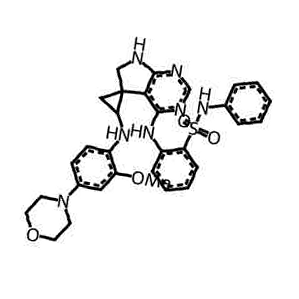 COc1cc(N2CCOCC2)ccc1NC1CC12CNc1ncnc(Nc3ccccc3S(=O)(=O)Nc3ccccc3)c12